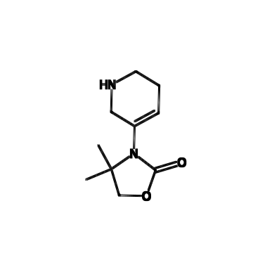 CC1(C)COC(=O)N1C1=CCCNC1